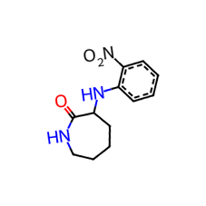 O=C1NCCCCC1Nc1ccccc1[N+](=O)[O-]